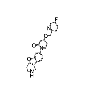 O=c1cc(OCc2ccc(F)cn2)ccn1-c1ccc2c3c(oc2c1)CCNC3